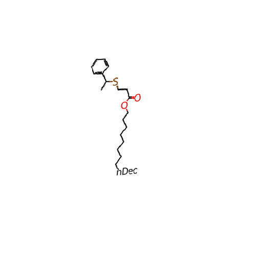 CCCCCCCCCCCCCCCCCCOC(=O)CCSC(C)c1ccccc1